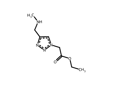 CCOC(=O)Cn1cc(CNC)nn1